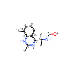 Cc1nc(C(C)(C)NC=O)c2cccc(C)c2n1